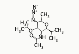 CC(=O)N[C@H]1C(OC(C)C)[C@@H](N=[N+]=[N-])C(C)O[C@H]1C(C)C